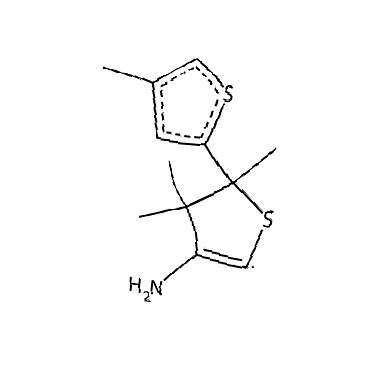 Cc1csc(C2(C)S[C]=C(N)C2(C)C)c1